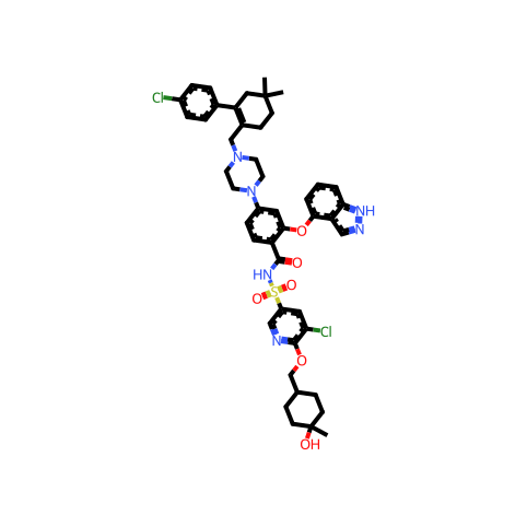 CC1(C)CCC(CN2CCN(c3ccc(C(=O)NS(=O)(=O)c4cnc(OCC5CCC(C)(O)CC5)c(Cl)c4)c(Oc4cccc5[nH]ncc45)c3)CC2)=C(c2ccc(Cl)cc2)C1